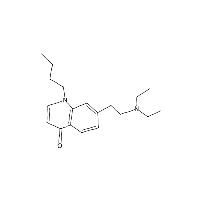 CCCCn1ccc(=O)c2ccc(CCN(CC)CC)cc21